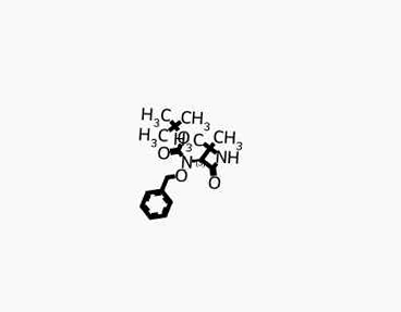 CC(C)(C)OC(=O)N(OCc1ccccc1)[C@@H]1C(=O)NC1(C)C